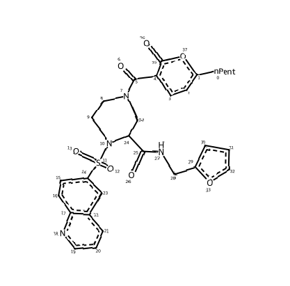 CCCCCc1ccc(C(=O)N2CCN(S(=O)(=O)c3ccc4ncccc4c3)C(C(=O)NCc3ccco3)C2)c(=O)o1